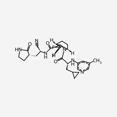 Cc1cncc(N[C@@H](CC2CC2)C(=O)N2[C@H]3CC[C@@H]([C@H]2C(=O)N[C@H](C#N)C[C@@H]2CCNC2=O)C(F)(F)C3)c1